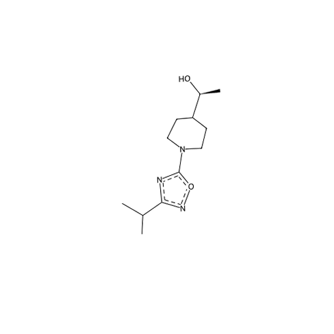 CC(C)c1noc(N2CCC([C@H](C)O)CC2)n1